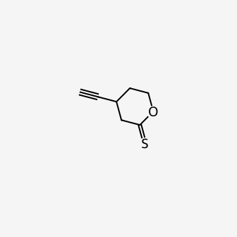 C#CC1CCOC(=S)C1